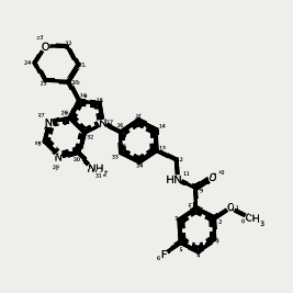 COc1ccc(F)cc1C(=O)NCc1ccc(-n2cc(C3CCOCC3)c3ncnc(N)c32)cc1